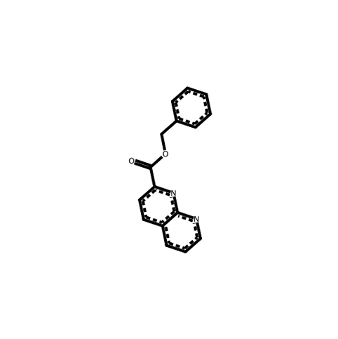 O=C(OCc1ccccc1)c1ccc2cccnc2n1